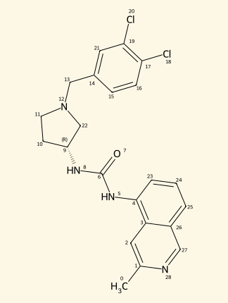 Cc1cc2c(NC(=O)N[C@@H]3CCN(Cc4ccc(Cl)c(Cl)c4)C3)cccc2cn1